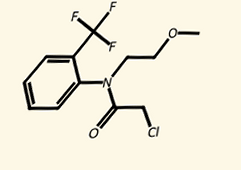 COCCN(C(=O)CCl)c1ccccc1C(F)(F)F